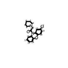 O=C(CN1CCCCC1)N1c2ccccc2Oc2ccc(Cl)cc21